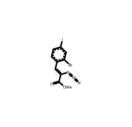 COC(=O)/C(=C/c1ccc(I)cc1Br)N=[N+]=[N-]